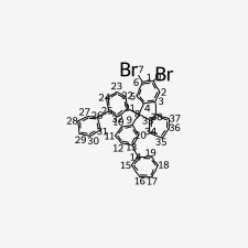 Brc1cc2c(cc1Br)C(c1cccc(-c3ccccc3)c1)(c1cccc(-c3ccccc3)c1)c1ccccc1-2